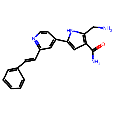 NCc1[nH]c(-c2ccnc(/C=C/c3ccccc3)c2)cc1C(N)=O